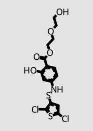 O=C(OCCOCCO)c1ccc(NSc2cc(Cl)sc2Cl)cc1O